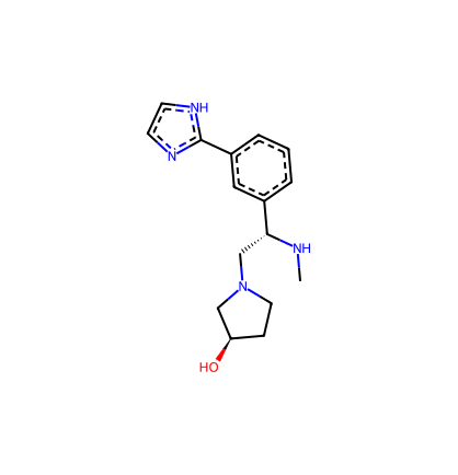 CN[C@H](CN1CC[C@@H](O)C1)c1cccc(-c2ncc[nH]2)c1